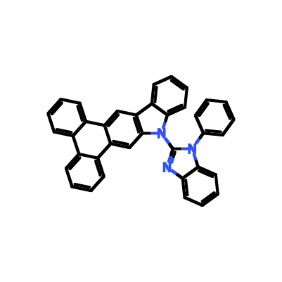 c1ccc(-n2c(-n3c4ccccc4c4cc5c6ccccc6c6ccccc6c5cc43)nc3ccccc32)cc1